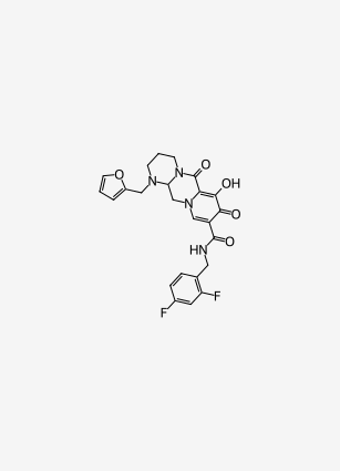 O=C(NCc1ccc(F)cc1F)c1cn2c(c(O)c1=O)C(=O)N1CCCN(Cc3ccco3)C1C2